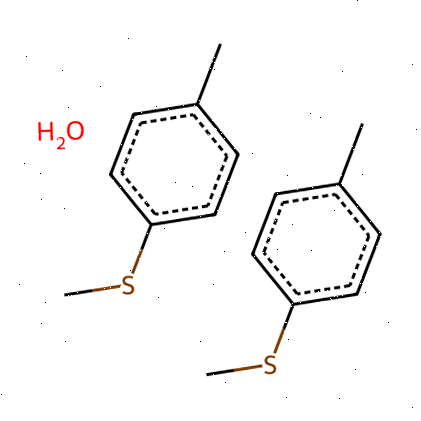 CSc1ccc(C)cc1.CSc1ccc(C)cc1.O